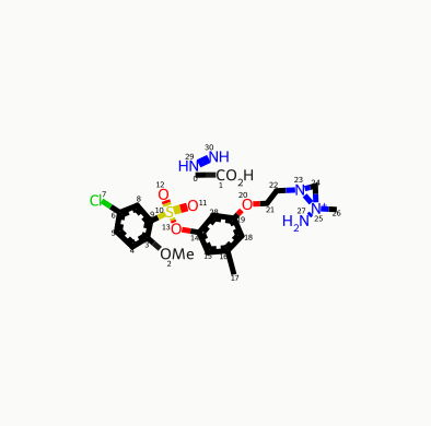 CC(=O)O.COc1ccc(Cl)cc1S(=O)(=O)Oc1cc(C)cc(OCCN2C[N+]2(C)N)c1.N=N